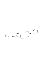 CCc1ccc(N2CCN(C3CCCC3)CC2)c(F)c1